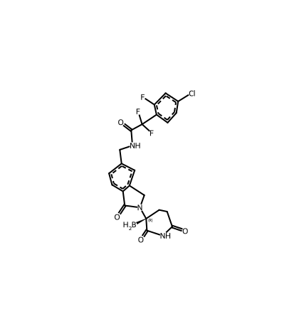 B[C@@]1(N2Cc3cc(CNC(=O)C(F)(F)c4ccc(Cl)cc4F)ccc3C2=O)CCC(=O)NC1=O